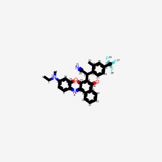 CCN(C)c1ccc2nc3c4ccccc4c(=O)c(C(C#N)c4ccc(C(F)(F)F)cc4C)c-3oc2c1